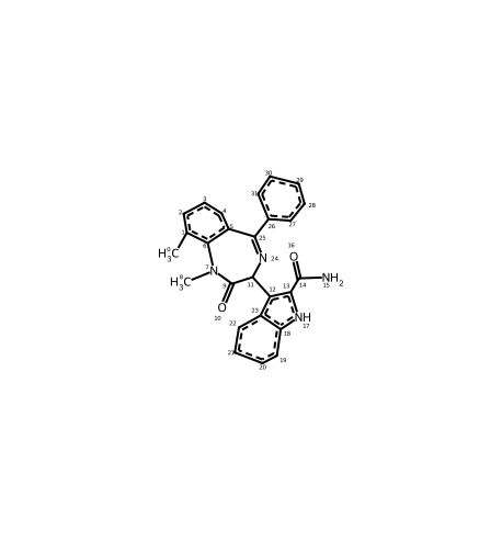 Cc1cccc2c1N(C)C(=O)C(c1c(C(N)=O)[nH]c3ccccc13)N=C2c1ccccc1